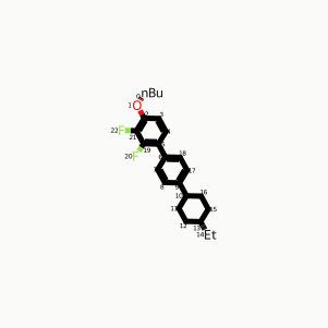 CCCCOc1ccc(-c2ccc(C3CCC(CC)CC3)cc2)c(F)c1F